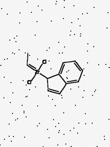 C[CH]=[Zr]([Cl])([Cl])[CH]1C=Cc2ccccc21